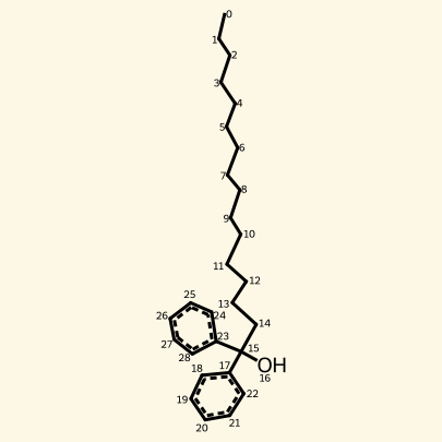 CCCCCCCCCCCCCCCC(O)(c1ccccc1)c1ccccc1